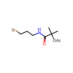 CC(=O)OC(C)(C)C(=O)NCCCBr